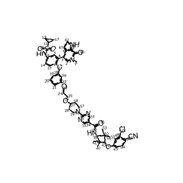 Cn1cc(-c2cc(NS(=O)(=O)C3CC3)ccc2Oc2cccc(OCCOC3CCN(c4ncc(C(=O)NC5C(C)(C)C(Oc6ccc(C#N)c(Cl)c6)C5(C)C)cn4)CC3)c2)c2cc[nH]c2c1=O